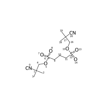 [C-]#[N+]C(C)(C)COS(=O)(=O)CCCS(=O)(=O)OCC(C)(C)C#N